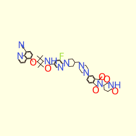 CC1(C)[C@H](NC(=O)c2cnc(N3CCC(CN4CCN(c5ccc6c(c5)C(=O)N(C5CCC(=O)NC5=O)C6=O)CC4)CC3)c(F)c2)C(C)(C)[C@H]1Oc1ccc(C#N)c2ncccc12